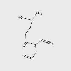 C=Cc1ccccc1CC[C@@H](C)O